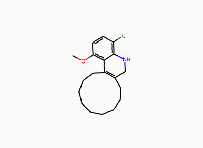 COc1ccc(Cl)c2c1C1=C(CCCCCCCCC1)CN2